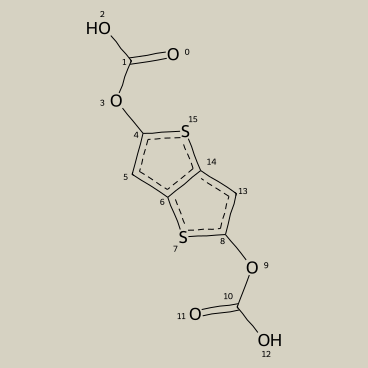 O=C(O)Oc1cc2sc(OC(=O)O)cc2s1